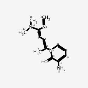 C=N/C(=C\C=C(/C)n1cccc(N)c1=O)N(C)C